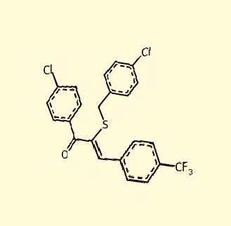 O=C(C(=Cc1ccc(C(F)(F)F)cc1)SCc1ccc(Cl)cc1)c1ccc(Cl)cc1